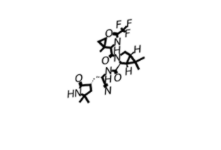 CC1(C)C[C@@H](C[C@@H](C#N)NC(=O)[C@@H]2[C@@H]3[C@H](CN2C(=O)C(NC(=O)C(F)(F)F)C2(C)CC2)C3(C)C)C(=O)N1